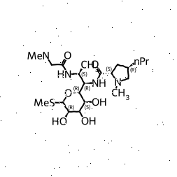 CCC[C@@H]1C[C@@H](C(=O)N[C@@H]([C@H]2OC(SC)[C@H](O)C(O)[C@@H]2O)[C@H](C)NC(=O)CNC)N(C)C1